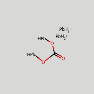 O=C([O][PbH])[O][PbH].[PbH2].[PbH2]